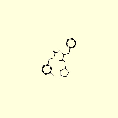 O=C(NC(Cc1ccccc1)C(=O)OC1CCCC1)OCc1cccc([N+](=O)[O-])c1